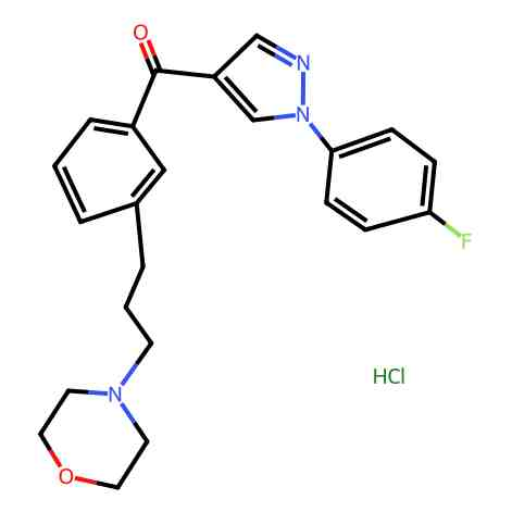 Cl.O=C(c1cccc(CCCN2CCOCC2)c1)c1cnn(-c2ccc(F)cc2)c1